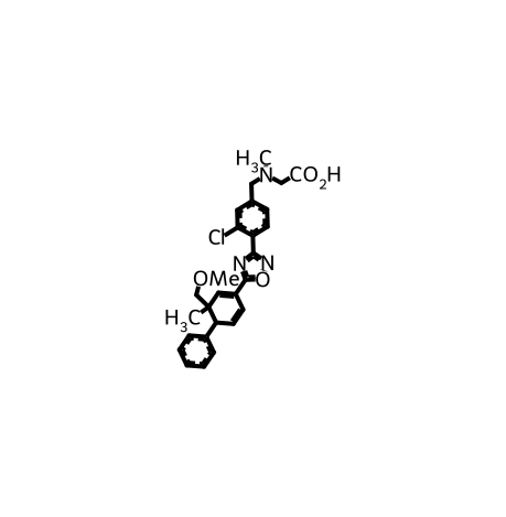 COCC1(C)C=C(c2nc(-c3ccc(CN(C)CC(=O)O)cc3Cl)no2)C=CC1c1ccccc1